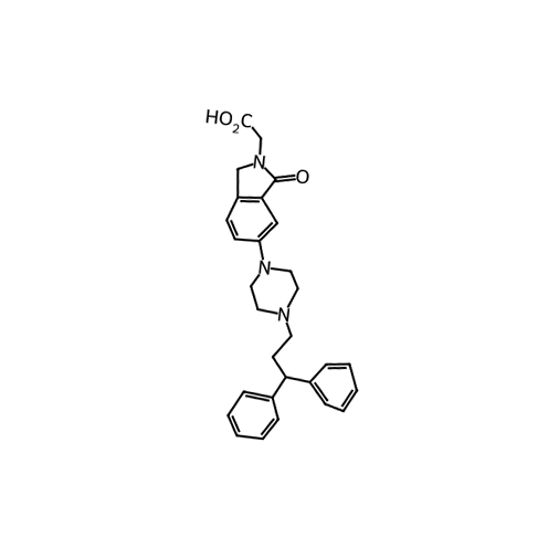 O=C(O)CN1Cc2ccc(N3CCN(CCC(c4ccccc4)c4ccccc4)CC3)cc2C1=O